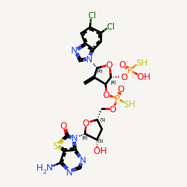 C=C1C(OP(=O)(S)OC[C@@H]2C[C@H](O)[C@H](n3c(=O)sc4c(N)ncnc43)O2)[C@@H](OP(=O)(O)S)O[C@H]1n1cnc2cc(Cl)c(Cl)cc21